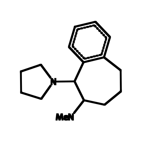 CNC1CCCc2ccccc2C1N1CCCC1